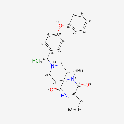 CCCCN1C(=O)C(COC)NC(=O)C12CCN(Cc1ccc(Oc3ccccc3)cc1)CC2.Cl